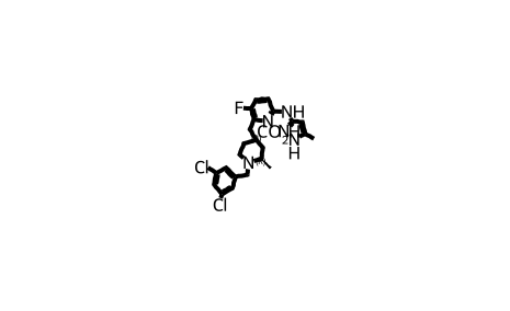 Cc1cc(Nc2ccc(F)c(C[C@@]3(C(=O)O)CCN(Cc4cc(Cl)cc(Cl)c4)[C@H](C)C3)n2)n[nH]1